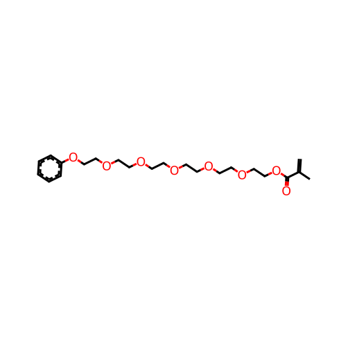 C=C(C)C(=O)OCCOCCOCCOCCOCCOCCOc1ccccc1